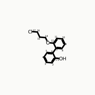 Oc1ccccc1-c1ccccc1OCCCCl